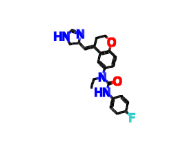 CCN(C(=O)NC1=CCC(F)C=C1)c1ccc2c(c1)/C(=C/C1CNC=N1)CCO2